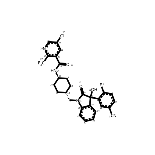 N#Cc1ccc(F)c(C2(O)C(=O)N(C[C@H]3CC[C@H](NC(=O)c4cc(Cl)cnc4C(F)(F)F)CC3)c3ccccc32)c1